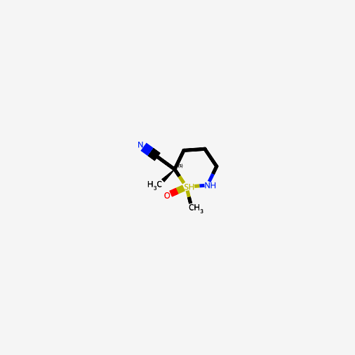 C[C@@]1(C#N)CCCN[SH]1(C)=O